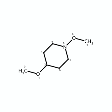 COC1CCN(OC)CC1